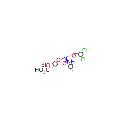 CCOC(Cc1ccc(OCCN(CCCOCc2cc(Cl)cc(Cl)c2)C(=O)Nc2ccc(C)cc2)cc1)C(=O)O